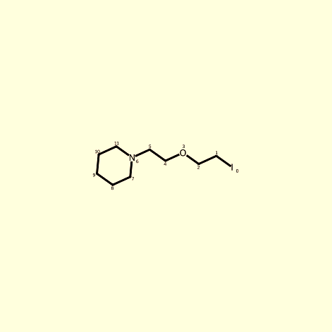 ICCOCCN1CCCCC1